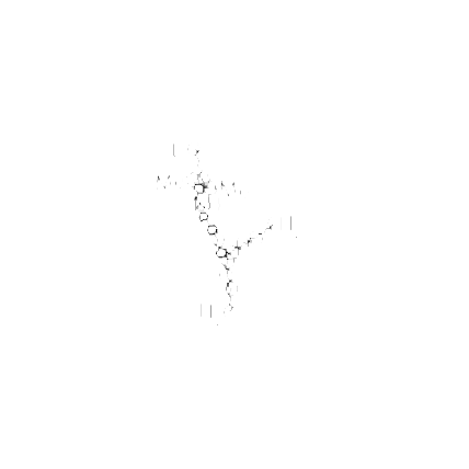 C=CCCCOCCOCCOc1ccc(COc2ccc(-c3ccc(CNCc4cc(OC)c(OCCCCCCO)c(OC)c4)cc3)cc2)cc1OCCOCCOCCCC=C